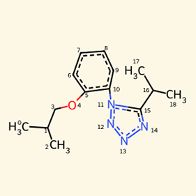 CC(C)COc1ccccc1-n1nnnc1C(C)C